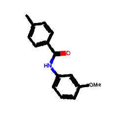 COc1cccc(NC(=O)c2ccc(C)cc2)c1